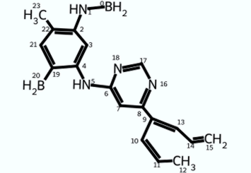 BNc1cc(Nc2cc(C(/C=C\C)=C/C=C)ncn2)c(B)cc1C